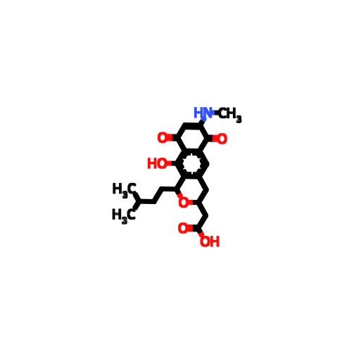 CNC1=CC(=O)c2c(cc3c(c2O)C(CCC(C)C)OC(CC(=O)O)C3)C1=O